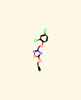 C#CCOc1nc(COc2ccc(Cl)cc2Cl)no1